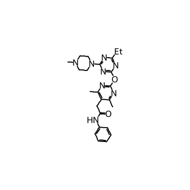 CCc1nc(Oc2nc(C)c(CC(=O)Nc3ccccc3)c(C)n2)nc(N2CCN(C)CC2)n1